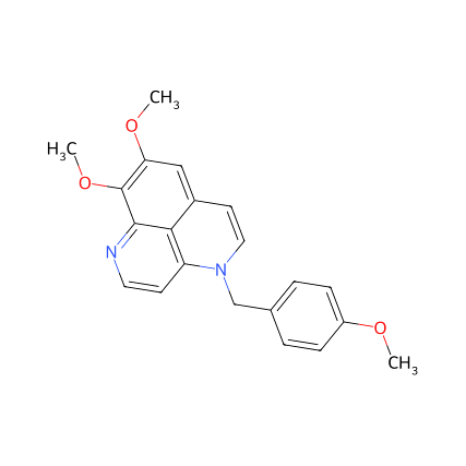 COc1ccc(CN2C=Cc3cc(OC)c(OC)c4nccc2c34)cc1